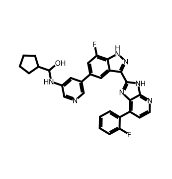 OC(Nc1cncc(-c2cc(F)c3[nH]nc(-c4nc5c(-c6ccccc6F)ccnc5[nH]4)c3c2)c1)C1CCCC1